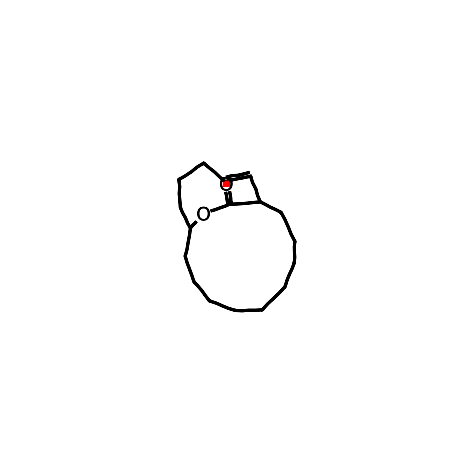 O=C1OC2CCC/C=C/C1CCCCCCCCC2